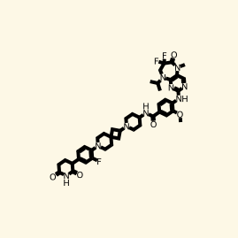 COc1cc(C(=O)NC2CCN(C3CC4(CCN(c5ccc(C6CCC(=O)NC6=O)cc5F)CC4)C3)CC2)ccc1Nc1ncc2c(n1)N(C(C)C)CC(F)(F)C(=O)N2C